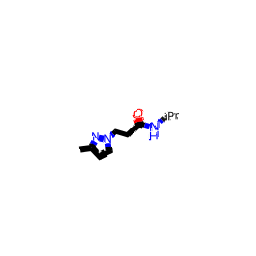 Cc1ccn(CCC(=O)NC(C)C)n1